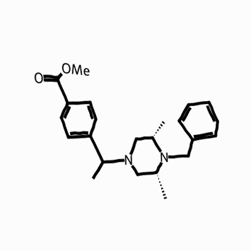 COC(=O)c1ccc(C(C)N2C[C@@H](C)N(Cc3ccccc3)[C@@H](C)C2)cc1